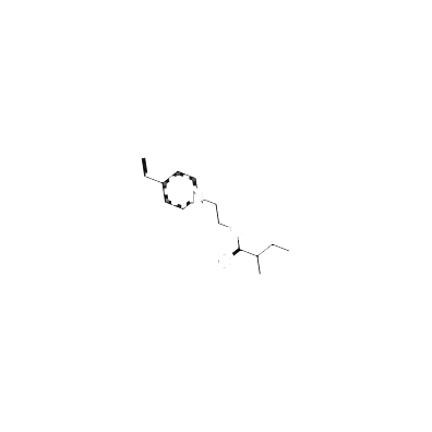 C=Cc1cc[n+](CCOC(=O)C(C)CC)cc1